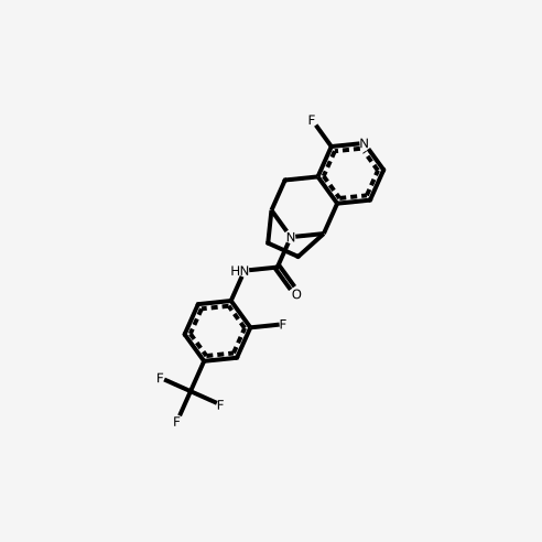 O=C(Nc1ccc(C(F)(F)F)cc1F)N1C2CCC1c1ccnc(F)c1C2